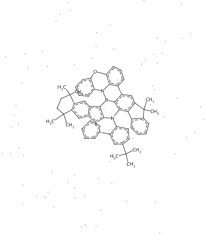 CC(C)(C)c1ccc(N2c3sc4cc5c(cc4c3B3c4c(cc6c(c42)-c2ccccc2C6(C)C)-c2cccc4c2N3c2ccccc2O4)C(C)(C)CCC5(C)C)c(-c2ccccc2)c1